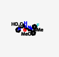 COc1cccc(OC)c1-c1cc(C(=O)N[C@@H](CCN2CCCCC2)CC(=O)O)nn1-c1ccc(F)cc1